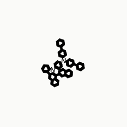 c1ccc(-c2ccc(N(c3ccc(-c4ccccc4)cc3)c3ccc(-n4c5ccccc5c5cc6ccccc6c(-c6ccc7ccccc7c6)c54)cc3)cc2)cc1